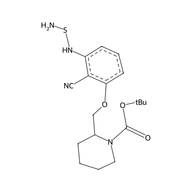 CC(C)(C)OC(=O)N1CCCCC1COc1cccc(NSN)c1C#N